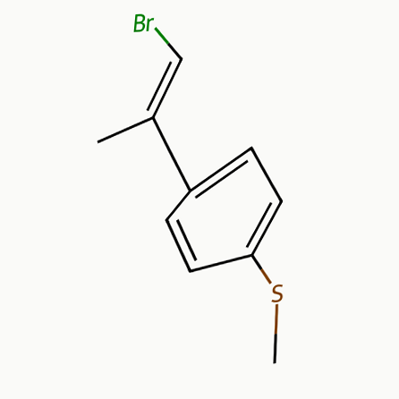 CSc1ccc(/C(C)=C/Br)cc1